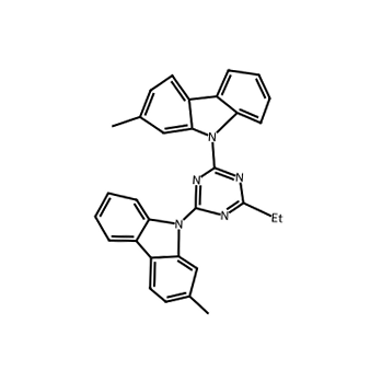 CCc1nc(-n2c3ccccc3c3ccc(C)cc32)nc(-n2c3ccccc3c3ccc(C)cc32)n1